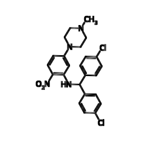 CN1CCN(c2ccc([N+](=O)[O-])c(NC(c3ccc(Cl)cc3)c3ccc(Cl)cc3)c2)CC1